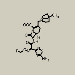 CC12CC[N+](CC3=C(C(=O)[O-])N4C(=O)[C@@H](NC(=O)/C(=N\OCF)c5nsc(N)n5)[C@@H]4SC3)(CC1)CC2